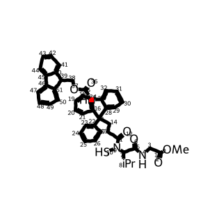 COC(=O)CNC(=O)C(C(C)C)N(S)C(=O)CCC(c1ccccc1)(c1ccccc1)c1ccccc1NC(=O)OCC1c2ccccc2-c2ccccc21